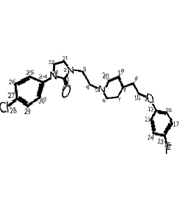 O=C1N(CCN2CCC(CCOc3ccc(F)cc3)CC2)CCN1c1ccc(Cl)cc1